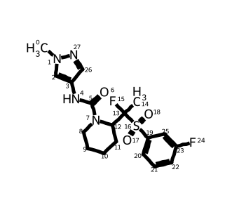 Cn1cc(NC(=O)N2CCCCC2C(C)(F)S(=O)(=O)c2cccc(F)c2)cn1